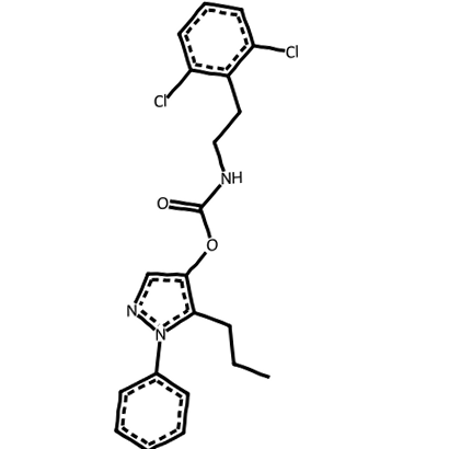 CCCc1c(OC(=O)NCCc2c(Cl)cccc2Cl)cnn1-c1ccccc1